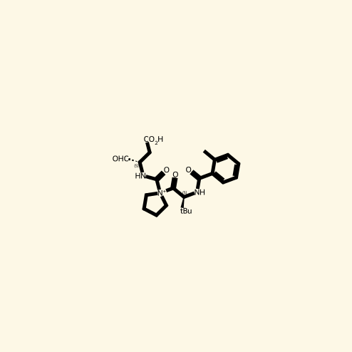 Cc1ccccc1C(=O)N[C@H](C(=O)[N+]1(C(=O)N[C@H](C=O)CC(=O)O)CCCC1)C(C)(C)C